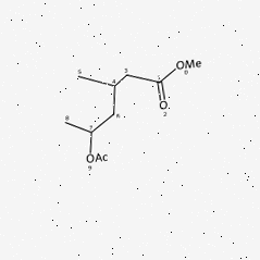 COC(=O)CC(C)CC(C)OC(C)=O